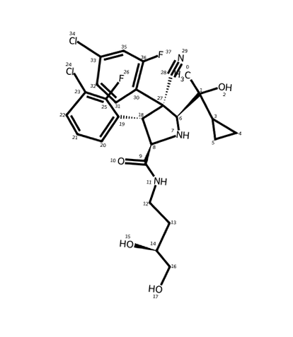 CC(O)(C1CC1)[C@H]1N[C@@H](C(=O)NCC[C@H](O)CO)[C@H](c2cccc(Cl)c2F)[C@@]1(C#N)c1ccc(Cl)cc1F